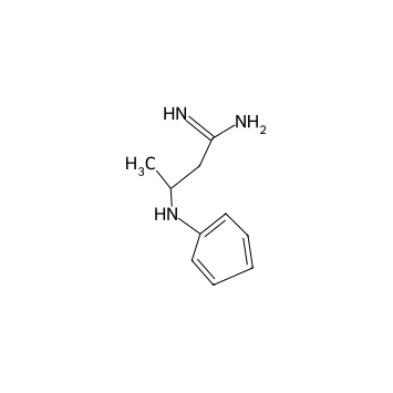 CC(CC(=N)N)Nc1ccccc1